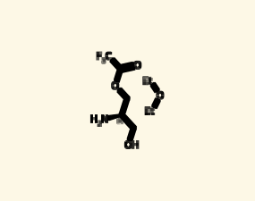 CCOCC.N[C@H](CO)COC(=O)C(F)(F)F